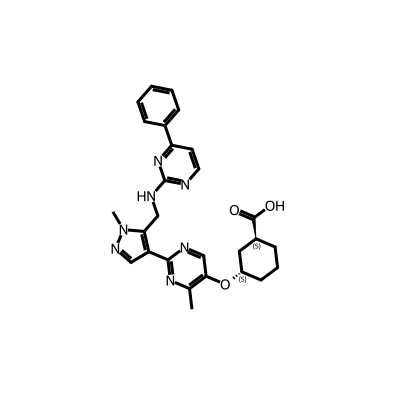 Cc1nc(-c2cnn(C)c2CNc2nccc(-c3ccccc3)n2)ncc1O[C@H]1CCC[C@H](C(=O)O)C1